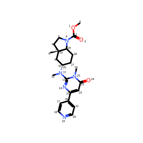 COC(=O)N1CC[C@@]2(C)C[C@@H](N(C)c3nc(-c4ccncc4)cc(=O)n3C)CCC12